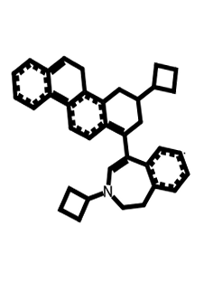 [c]1ccc2c(c1)C(C1=c3ccc4c(c3CC(C3CCC3)C1)CC=c1ccccc1=4)=CN(C1CCC1)CC2